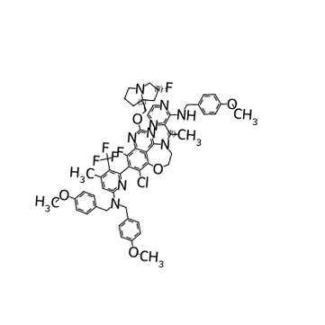 COc1ccc(CNc2nccnc2[C@@H](C)N2CCOc3c(Cl)c(-c4nc(N(Cc5ccc(OC)cc5)Cc5ccc(OC)cc5)cc(C)c4C(F)(F)F)c(F)c4nc(OC[C@@]56CCCN5C[C@H](F)C6)nc2c34)cc1